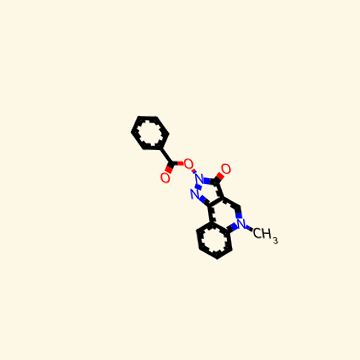 Cn1cc2c(=O)n(OC(=O)c3ccccc3)nc-2c2ccccc21